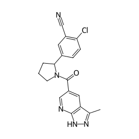 Cc1n[nH]c2ncc(C(=O)N3CCCC3c3ccc(Cl)c(C#N)c3)cc12